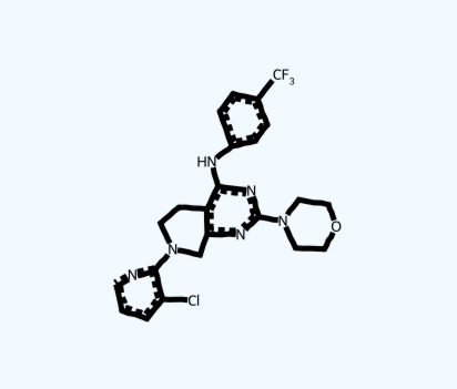 FC(F)(F)c1ccc(Nc2nc(N3CCOCC3)nc3c2CCN(c2ncccc2Cl)C3)cc1